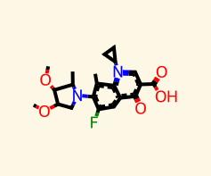 COC1CN(c2c(F)cc3c(=O)c(C(=O)O)cn(C4CC4)c3c2C)C(C)C1OC